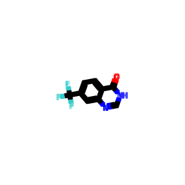 O=c1[nH]cnc2cc(C(F)(F)F)ccc12